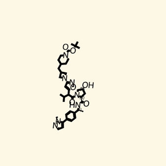 CC(C)C(C(=O)N1C[C@H](O)C[C@H]1C(=O)N[C@@H](C)c1ccc(-c2ccnn2C)cc1)c1cc(N2CC(CC3CCN(C(=O)OC(C)(C)C)CC3)C2)no1